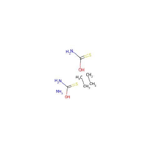 CC.CC.N.NC(O)=S.NC(O)=S